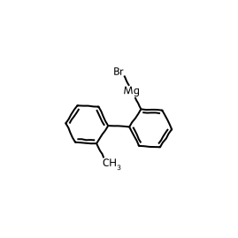 Cc1ccccc1-c1cccc[c]1[Mg][Br]